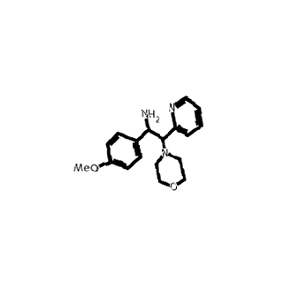 COc1ccc(C(N)C(c2ccccn2)N2CCOCC2)cc1